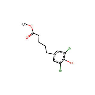 COC(=O)CCCCc1cc(Br)c(O)c(Br)c1